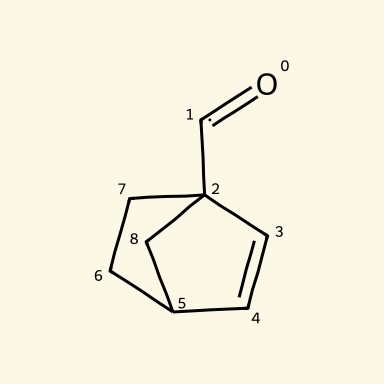 O=[C]C12C=CC(CC1)C2